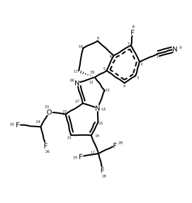 N#Cc1ccc2c(c1F)CCC[C@@]21CN2C=C(C(F)(F)F)C=C(OC(F)F)C2=N1